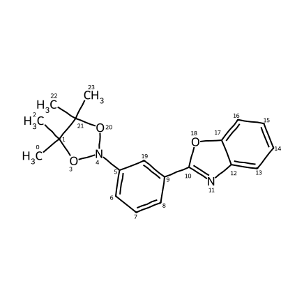 CC1(C)ON(c2cccc(-c3nc4ccccc4o3)c2)OC1(C)C